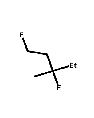 CCC(C)(F)CCF